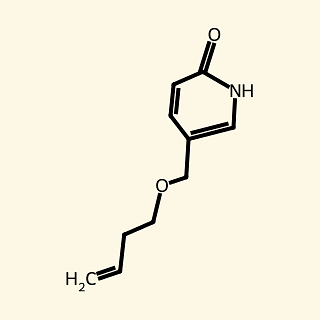 C=CCCOCc1ccc(=O)[nH]c1